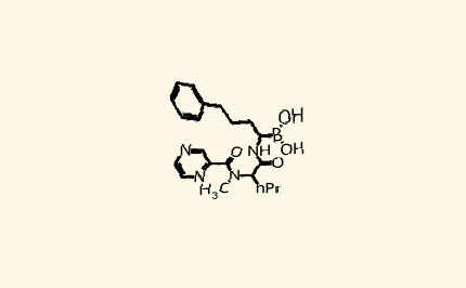 CCCC(C(=O)NC(CCCc1ccccc1)B(O)O)N(C)C(=O)c1cnccn1